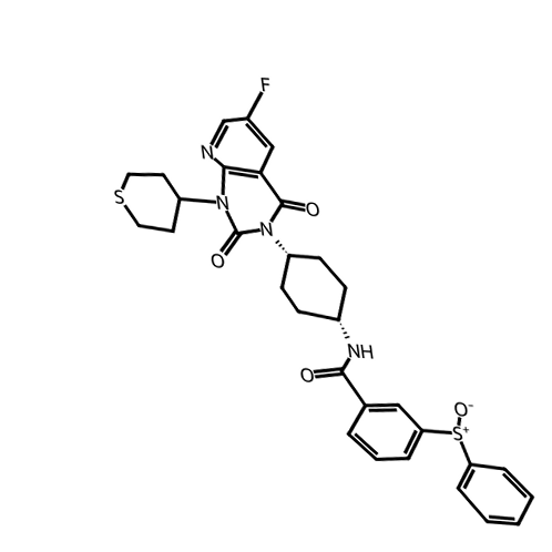 O=C(N[C@H]1CC[C@@H](n2c(=O)c3cc(F)cnc3n(C3CCSCC3)c2=O)CC1)c1cccc([S+]([O-])c2ccccc2)c1